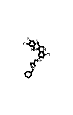 N#Cc1cnc2c(Cl)cc(NCc3cn(CC4CCCCC4)nn3)cc2c1Nc1ccc(F)c(Cl)c1